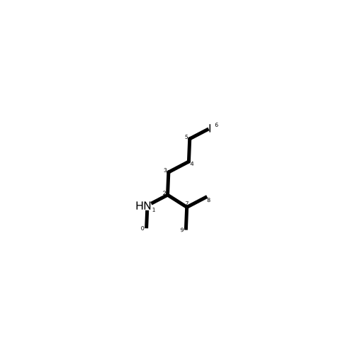 CNC(CCCI)C(C)C